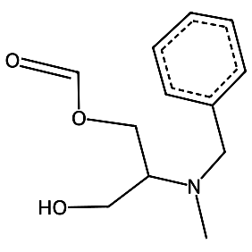 CN(Cc1ccccc1)C(CO)COC=O